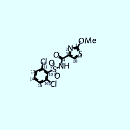 COc1nc(C(=O)NS(=O)(=O)c2c(Cl)cccc2Cl)cs1